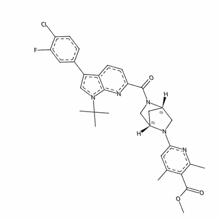 COC(=O)c1c(C)cc(N2C[C@@H]3C[C@H]2CN3C(=O)c2ccc3c(-c4ccc(Cl)c(F)c4)cn(C(C)(C)C)c3n2)nc1C